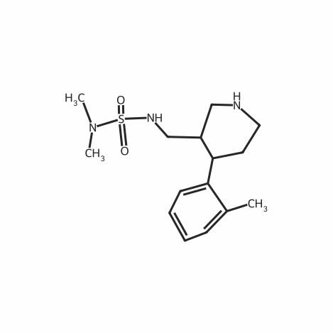 Cc1ccccc1C1CCNCC1CNS(=O)(=O)N(C)C